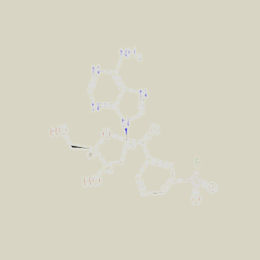 Nc1ncnc2c1ncn2[C@@]1(C(=O)c2cccc(S(=O)(=O)F)c2)C[C@H](O)[C@@H](CO)O1